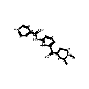 CC1CC(C(=O)c2cccc(NC(=O)c3ccncc3)n2)CCN1C